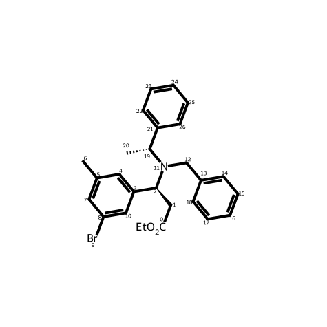 CCOC(=O)C[C@@H](c1cc(C)cc(Br)c1)N(Cc1ccccc1)[C@H](C)c1ccccc1